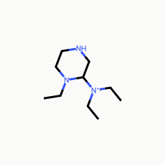 CCN1CCNCC1[N+](CC)CC